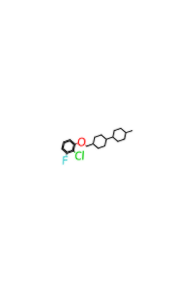 CC1CCC(C2CCC(COc3cccc(F)c3Cl)CC2)CC1